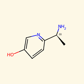 C[C@H](N)c1ccc(O)cn1